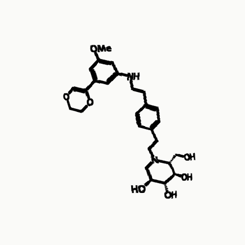 COc1cc(NCCc2ccc(CCN3C[C@H](O)[C@@H](O)[C@H](O)[C@H]3CO)cc2)cc(C2=COCCO2)c1